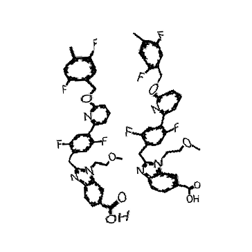 COCCn1c(Cc2cc(F)c(-c3cccc(OCc4cc(F)c(C)cc4F)n3)cc2F)nc2ccc(C(=O)O)cc21.COCCn1c(Cc2cc(F)c(-c3cccc(OCc4cc(F)c(C)cc4F)n3)cc2F)nc2ccc(C(=O)O)cc21